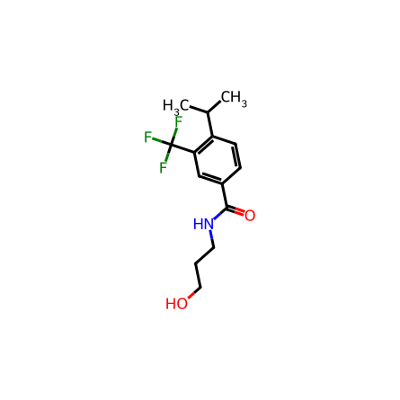 CC(C)c1ccc(C(=O)NCCCO)cc1C(F)(F)F